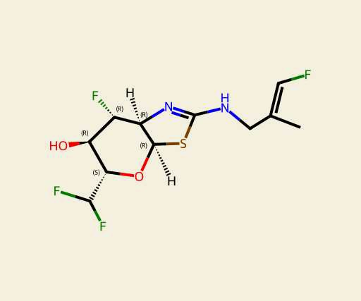 CC(=CF)CNC1=N[C@@H]2[C@@H](F)[C@H](O)[C@@H](C(F)F)O[C@@H]2S1